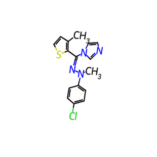 Cc1ccsc1C(=NN(C)c1ccc(Cl)cc1)n1ccnc1